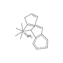 [CH3][Zr]([CH3])([CH3])([CH3])(=[SiH2])([C]1=CC=CC1)[CH]1C=Cc2ccccc21